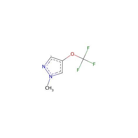 Cn1cc(OC(F)(F)F)[c]n1